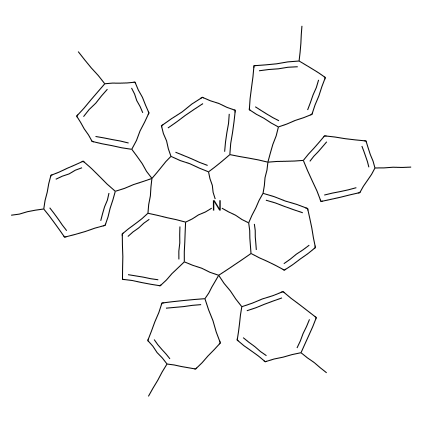 CC1=CC=C(C2(c3ccc(C)cc3)c3cccc4c3N3c5c2cccc5C(c2ccc(C)cc2)(c2ccc(C)cc2)c2cccc(c23)C4(c2ccc(C)cc2)c2ccc(C)cc2)CC1